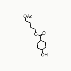 CC(=O)OCCCCOC(=O)C1CCC(O)CC1